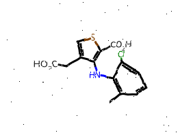 Cc1cccc(Cl)c1Nc1c(CC(=O)O)csc1C(=O)O